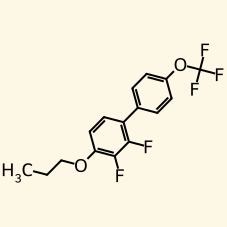 CCCOc1ccc(-c2ccc(OC(F)(F)F)cc2)c(F)c1F